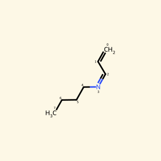 C=C/C=N\CCCC